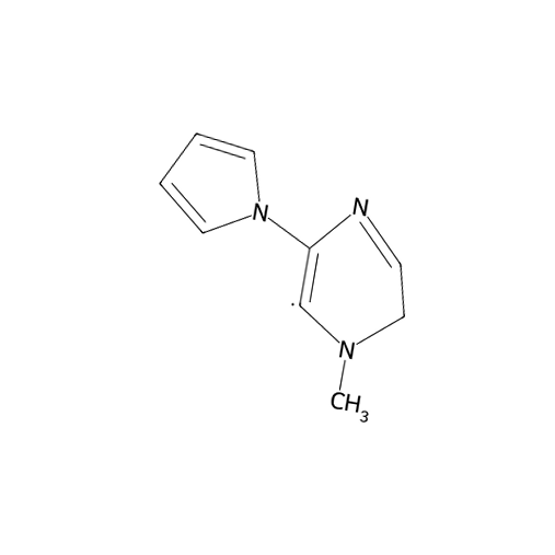 CN1[C]=C(n2cccc2)N=CC1